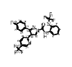 O=C(Nc1ccccc1SC(F)(F)F)N1CC(c2ccc(C(F)(F)F)cn2)C(c2ccc(F)cc2)=N1